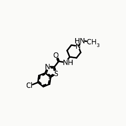 CNN1CCC(NC(=O)c2nc3cc(Cl)ccc3s2)CC1